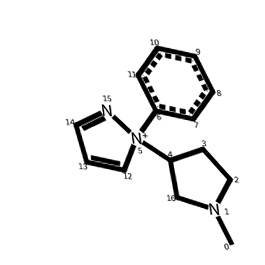 CN1CCC([N+]2(c3ccccc3)C=CC=N2)C1